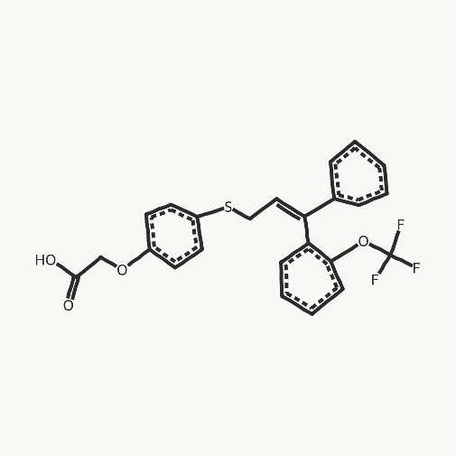 O=C(O)COc1ccc(SCC=C(c2ccccc2)c2ccccc2OC(F)(F)F)cc1